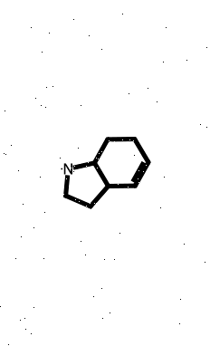 C1=CC2CC[N]C2CC1